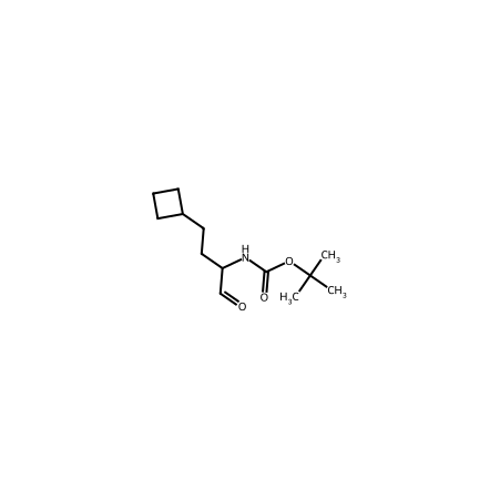 CC(C)(C)OC(=O)NC(C=O)CCC1CCC1